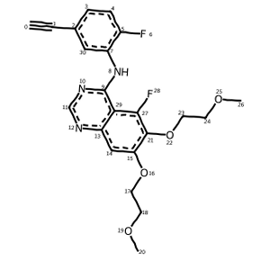 C#Cc1ccc(F)c(Nc2ncnc3cc(OCCOC)c(OCCOC)c(F)c23)c1